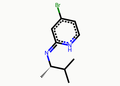 CC(C)[C@H](C)/N=c1/cc(Br)cc[nH]1